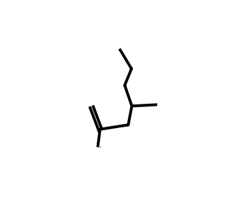 [CH2]C(=C)CC(C)CCC